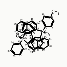 Cc1ccc(P(=O)(c2ccccc2)c2ccc3ccccc3c2-c2c(P(=O)(c3ccccc3)c3ccccc3)ccc3ccccc23)cc1